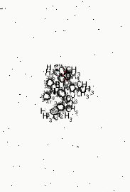 CC(C)(C)c1ccc(N2c3cc4c(cc3B3c5ccccc5N(c5ccccc5)c5cc(N6c7ccc(C(C)(C)C)cc7C7(C)CCCC67C)cc2c53)C(C)(C)CCC4(C)C)c(-c2ccccc2)c1